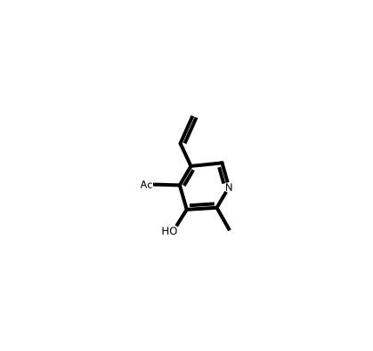 C=Cc1cnc(C)c(O)c1C(C)=O